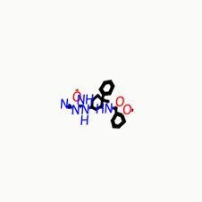 CON/C(=N\C#N)NC1CCC(CNC(=O)c2ccccc2OC)(c2ccccc2)CC1